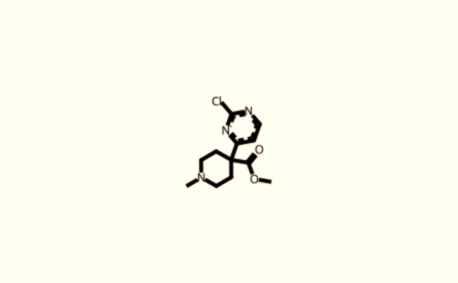 COC(=O)C1(c2ccnc(Cl)n2)CCN(C)CC1